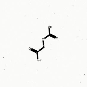 CCCC(=O)COC(=O)C(C)=O